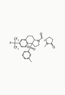 Cc1cccc(S(=O)(=O)C23CCN(C(=O)[C@@H]4CCC(=O)N4C)C2CCc2cc(C(F)(C(F)(F)F)C(F)(F)F)ccc23)c1